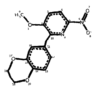 COc1ccc([N+](=O)[O-])nc1-c1ccc2c(c1)OCCO2